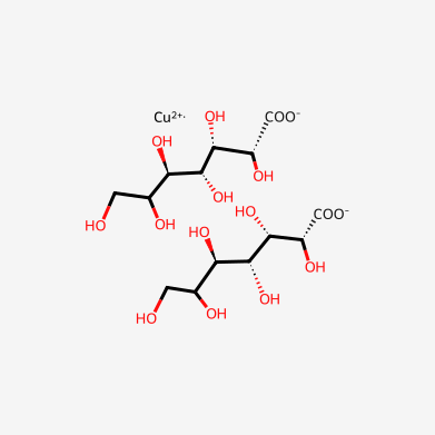 O=C([O-])[C@H](O)[C@@H](O)[C@H](O)[C@H](O)C(O)CO.O=C([O-])[C@H](O)[C@@H](O)[C@H](O)[C@H](O)C(O)CO.[Cu+2]